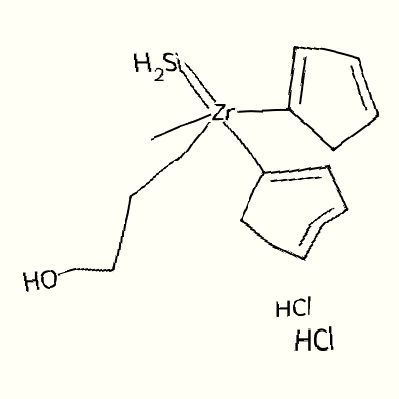 Cl.Cl.[CH3][Zr](=[SiH2])([CH2]CCO)([C]1=CC=CC1)[C]1=CC=CC1